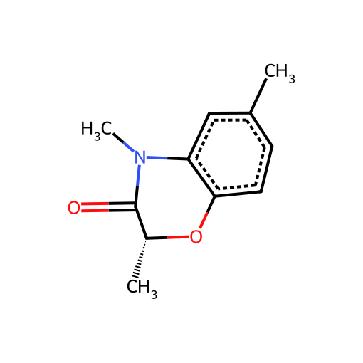 Cc1ccc2c(c1)N(C)C(=O)[C@@H](C)O2